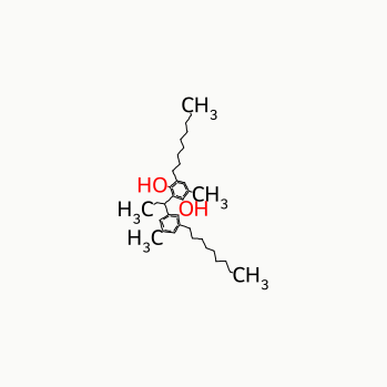 CCCCCCCCCc1cc(C)cc(C(CC)c2cc(C)cc(CCCCCCCCC)c2O)c1O